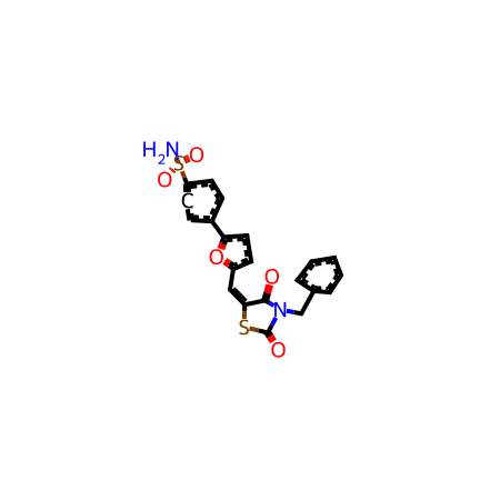 NS(=O)(=O)c1ccc(-c2ccc(/C=C3/SC(=O)N(Cc4ccccc4)C3=O)o2)cc1